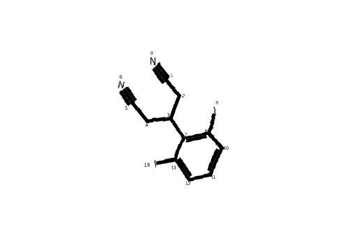 N#CCC(CC#N)c1c(I)cccc1I